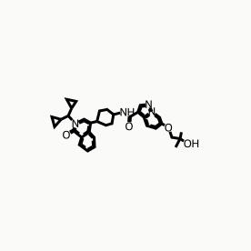 CC(C)(O)COc1ccc2c(C(=O)NC3CCC(c4cn(C(C5CC5)C5CC5)c(=O)c5ccccc45)CC3)cnn2c1